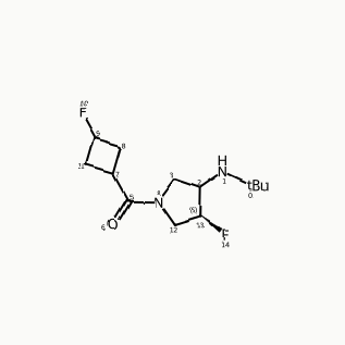 CC(C)(C)NC1CN(C(=O)C2CC(F)C2)C[C@@H]1F